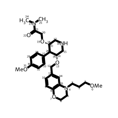 COCCCN1CCOc2ccc(CO[C@H]3CNC[C@@H](OCC(=O)N(C)C)C3c3ccc(OC)cc3)cc21